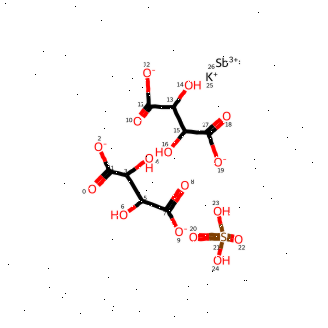 O=C([O-])C(O)C(O)C(=O)[O-].O=C([O-])C(O)C(O)C(=O)[O-].O=S(=O)(O)O.[K+].[Sb+3]